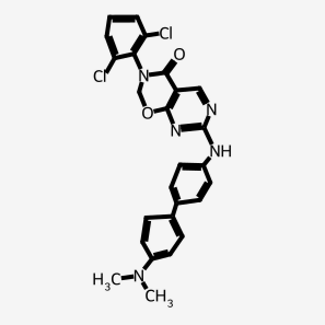 CN(C)c1ccc(-c2ccc(Nc3ncc4c(n3)OCN(c3c(Cl)cccc3Cl)C4=O)cc2)cc1